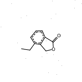 CCc1cccc2c1COC2=O